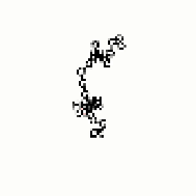 c1ccc(-c2nc(-c3ccc(-c4cccc(-c5ccc(-c6ccc(C7NC(c8ccccc8)NC(c8ccccc8-n8c9ccccc9c9ccc(-c%10cccc%11oc%12ccccc%12c%10%11)cc98)N7)cc6)cc5)c4)cc3)nc(-n3c4ccccc4c4ccc(-c5cccc6oc7ccccc7c56)cc43)n2)cc1